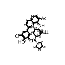 CC(=O)c1cnc2ccc(-c3cc(Cl)c(O)c(Cl)c3)nc2c1N[C@H]1CC[C@H](CN2CCCC2)CC1.Cl.Cl